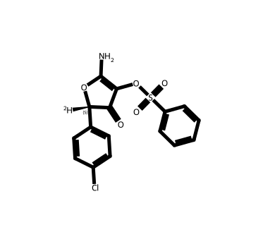 [2H][C@@]1(c2ccc(Cl)cc2)OC(N)=C(OS(=O)(=O)c2ccccc2)C1=O